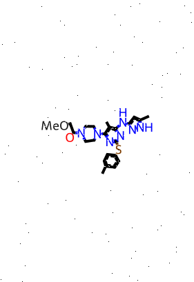 COCC(=O)N1CCN(c2nc(Sc3ccc(C)cc3)nc(Nc3cc(C)[nH]n3)c2C)CC1